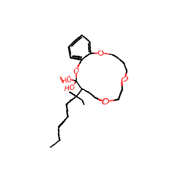 CCCCCC(C)(C)C1COCCOCCCOc2ccccc2OC1(O)O